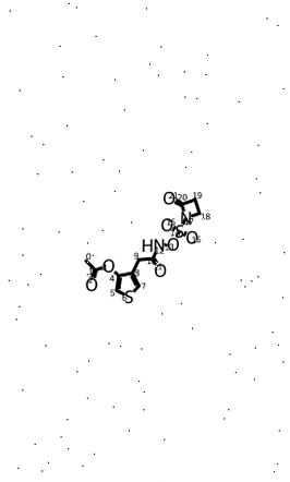 CC(=O)Oc1cscc1CC(=O)NOS(=O)(=O)N1CCC1=O